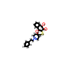 O=C1C(=O)c2ccccc2C2=C1SCC1(CCN(CCc3ccccc3)CC1)O2